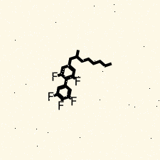 CCCCCCC(C)Cc1cc(F)c(-c2cc(F)c(F)c(F)c2)c(F)c1